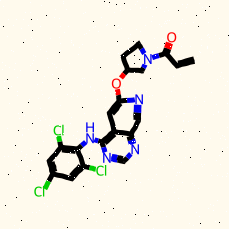 C=CC(=O)N1CCC(Oc2cc3c(Nc4c(Cl)cc(Cl)cc4Cl)ncnc3cn2)C1